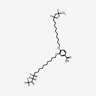 CC(F)(F)CC(F)(F)CCCCCCCCCCOc1ccc(C(=O)O)cc1OCCCCCCCCCCC(F)(F)C(F)(F)C(F)C(F)(F)F